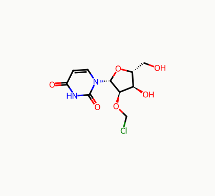 O=c1ccn([C@@H]2O[C@H](CO)[C@@H](O)[C@H]2OCCl)c(=O)[nH]1